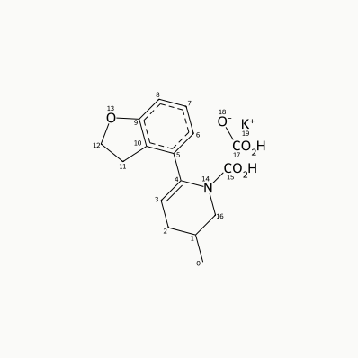 CC1CC=C(c2cccc3c2CCO3)N(C(=O)O)C1.O=C([O-])O.[K+]